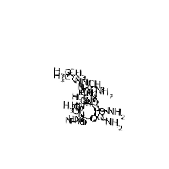 Cc1nc(N2CCC(C(C)(C)C)CC2)nc(C)c1C(=O)N[C@@H](CCN)C(=O)N(C)[C@@H]1C(=O)N[C@@H](C)C(=O)N[C@H](C(=O)NCC#N)Cc2ccc(OCCN)c(c2)-c2cc1ccc2OCCN